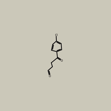 O=CCCC(=O)c1ccc(Cl)cc1